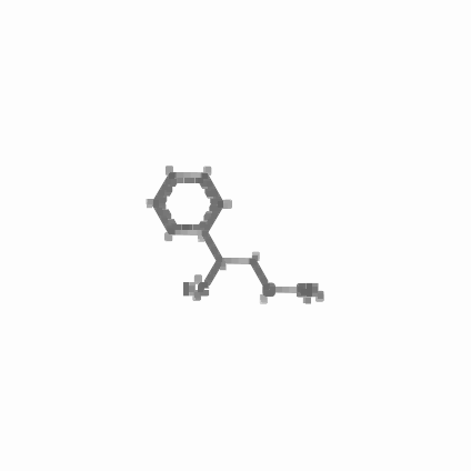 CC(CO[SiH3])c1ccccc1